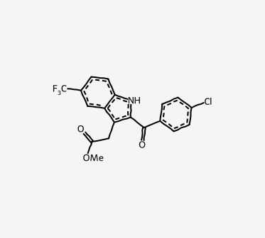 COC(=O)Cc1c(C(=O)c2ccc(Cl)cc2)[nH]c2ccc(C(F)(F)F)cc12